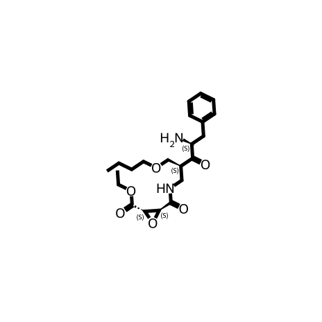 CCCCOC[C@H](CNC(=O)[C@H]1O[C@@H]1C(=O)OCC)C(=O)[C@@H](N)Cc1ccccc1